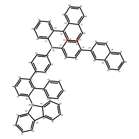 c1ccc(-c2c(-c3ccc(N(c4ccc(-c5ccc6ccccc6c5)cc4)c4ccccc4-c4cccc5ccccc45)cc3)cccc2-n2c3ccccc3c3ccccc32)cc1